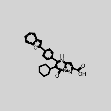 O=C(O)c1cc2[nH]c(-c3ccc(-c4cc5ccccc5o4)cc3)c(C3CCCCC3)c(=O)n2n1